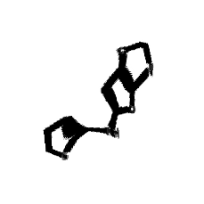 c1csc(Nc2cc3ocnc3o2)c1